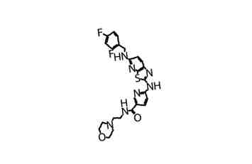 O=C(NCCN1CCOCC1)c1ccc(Nc2nc3ccc(NCc4ccc(F)cc4F)nc3s2)nc1